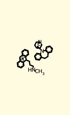 CNCCCC12CCC(c3ccccc31)c1ccccc12.c1ccc2c(c1)CCc1ccccc1N2C1CN2CCC1CC2